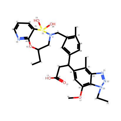 CCC1CN(Cc2cc(C(CC(=O)O)c3cc(OC)c4c(nnn4CC)c3C)ccc2C)S(O)(O)c2cccnc2O1